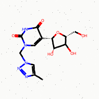 Cc1cn(Cn2cc([C@@H]3O[C@H](CO)C(O)[C@@H]3O)c(=O)[nH]c2=O)nn1